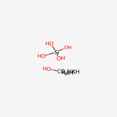 O=C(O)O.O[Si](O)(O)O.[KH].[NaH]